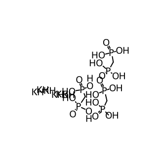 O=P(O)(O)CP(=O)(O)O.O=P(O)(O)CP(=O)(O)O.O=P(O)(O)CP(=O)(O)O.[KH].[KH].[KH].[KH].[KH].[KH]